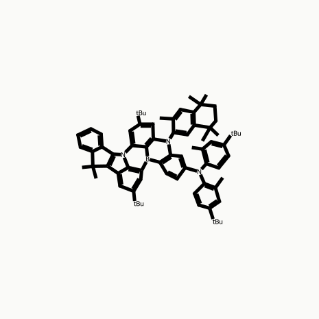 Cc1cc(C(C)(C)C)ccc1N(c1ccc2c(c1)N(c1cc3c(cc1C)C(C)(C)CCC3(C)C)c1cc(C(C)(C)C)cc3c1B2c1cc(C(C)(C)C)cc2c4c(n-3c12)-c1ccccc1C4(C)C)c1ccc(C(C)(C)C)cc1C